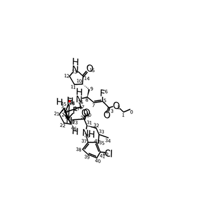 CCOC(=O)/C(F)=C/[C@H](C[C@@H]1CCNC1=O)NC(=O)[C@H]1[C@@H]2CC[C@@H](CC2(F)F)N1C(=O)[C@@H](CC(C)C)Nc1cccc(Cl)c1